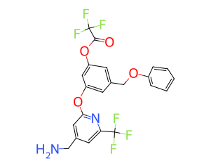 NCc1cc(Oc2cc(COc3ccccc3)cc(OC(=O)C(F)(F)F)c2)nc(C(F)(F)F)c1